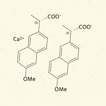 COc1ccc2cc([C@H](C)C(=O)[O-])ccc2c1.COc1ccc2cc([C@H](C)C(=O)[O-])ccc2c1.[Ca+2]